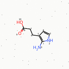 Nc1[nH]ccc1CCC(=O)O